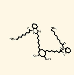 CCCCCCCCCCCCCCCCCC(=O)N[C@H]1CCCC[C@H]1NC(=O)CCCCCCC1CC(CCCCCCCC)CC(CCCCCCCC)CC(CCCCCCC(=O)N[C@H]2CCCC[C@H]2NC(=O)CCCCCCCCCCCCCCCCC)C1